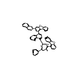 CC1=C(c2cccc3oc4ccccc4c23)NC(c2ccc(-c3cc(-c4ccc5ccccc5c4)cc4oc5ccccc5c34)c3ccccc23)N=C(c2ccccc2)C1